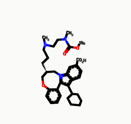 CN(CCC[C@H]1COc2ccccc2-c2c(C3CCCCC3)c3ccc(C(=O)O)cc3n2C1)CCN(C)C(=O)OC(C)(C)C